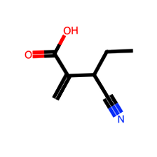 C=C(C(=O)O)C(C#N)CC